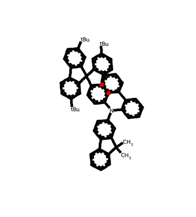 CC(C)(C)c1ccc2c(c1)C1(c3ccc(N(c4ccc5c(c4)C(C)(C)c4ccccc4-5)c4ccccc4-c4ccccc4)cc3-2)c2cc(C(C)(C)C)ccc2-c2ccc(C(C)(C)C)cc21